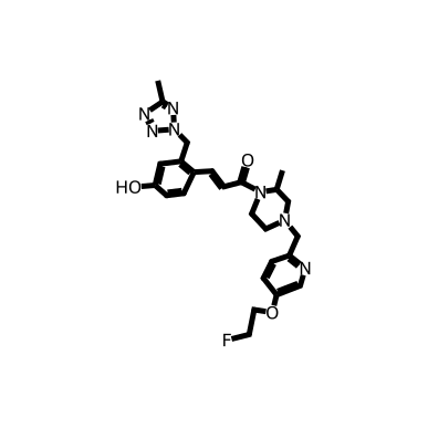 Cc1nnn(Cc2cc(O)ccc2C=CC(=O)N2CCN(Cc3ccc(OCCF)cn3)CC2C)n1